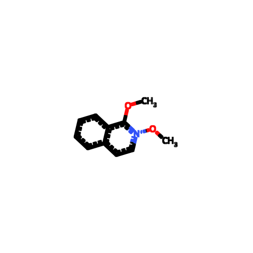 COc1c2ccccc2cc[n+]1OC